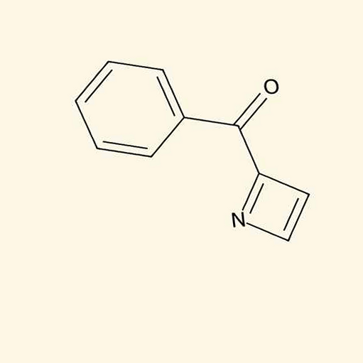 O=C(C1=NC=C1)c1ccccc1